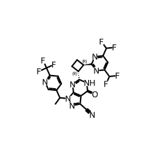 CC(c1ccc(C(F)(F)F)nc1)n1nc(C#N)c2c(=O)[nH]c([C@@H]3CC[C@H]3c3nc(C(F)F)cc(C(F)F)n3)nc21